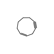 C1#CCCCCC=CC1